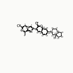 Cc1nc(Cl)cn2cc(-c3cc4ccc(N5CCN6CCC[C@@H]6C5)cc4oc3=O)nc12